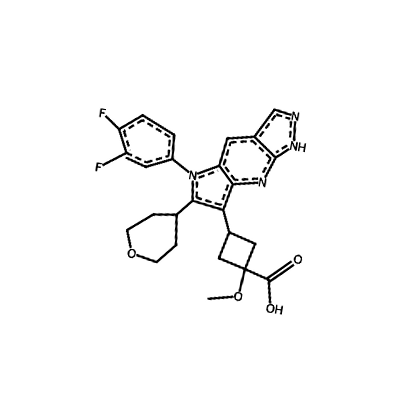 COC1(C(=O)O)CC(c2c(C3CCOCC3)n(-c3ccc(F)c(F)c3)c3cc4cn[nH]c4nc23)C1